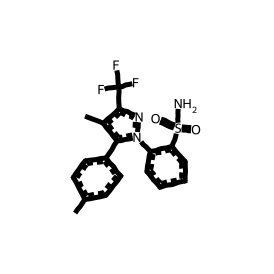 Cc1ccc(-c2c(C)c(C(F)(F)F)nn2-c2ccccc2S(N)(=O)=O)cc1